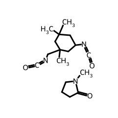 CC1(C)CC(N=C=O)CC(C)(CN=C=O)C1.CN1CCCC1=O